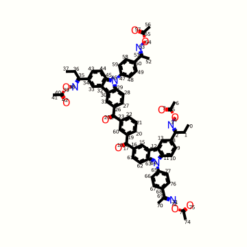 CCC(=NOC(C)=O)c1ccc2c(c1)c1cc(C(=O)c3cccc(C(=O)c4ccc5c(c4)c4cc(C(CC)=NOC(C)=O)ccc4n5-c4ccc(/C(C)=N/OC(C)=O)cc4)c3)ccc1n2-c1ccc(/C(C)=N/OC(C)=O)cc1